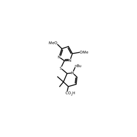 CCCCN1C=CC(C(=O)O)C(C)(C)C1Sc1nc(OC)cc(OC)n1